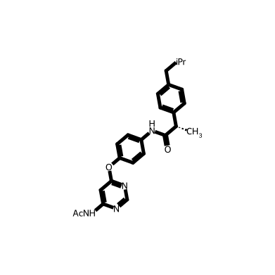 CC(=O)Nc1cc(Oc2ccc(NC(=O)[C@@H](C)c3ccc(CC(C)C)cc3)cc2)ncn1